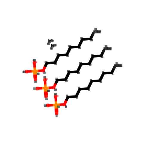 CCCCCCCCCCCCCCCCCCOP(=O)([O-])[O-].CCCCCCCCCCCCCCCCCCOP(=O)([O-])[O-].CCCCCCCCCCCCCCCCCCOP(=O)([O-])[O-].[In+3].[In+3]